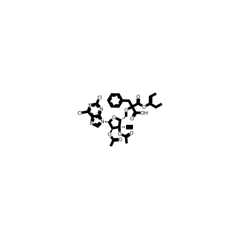 C#C[C@@]1(OC(C)=O)[C@@H](COC(Cc2ccccc2)(C(=O)O)C(=O)OC(=CC)CC)O[C@@H](n2cnc3c(Cl)nc(Cl)nc32)[C@@H]1OC(C)=O